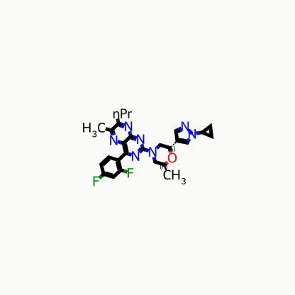 CCCc1nc2nc(N3C[C@@H](C)O[C@@H](c4cnn(C5CC5)c4)C3)nc(-c3ccc(F)cc3F)c2nc1C